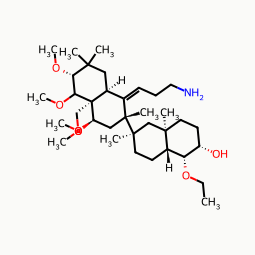 CCO[C@H]1[C@@H](O)CC[C@]2(C)C[C@](C)([C@]3(C)C[C@@H](OC)[C@@]4(COC)C(OC)[C@H](OC)C(C)(C)C[C@H]4/C3=C/CCN)CC[C@@H]12